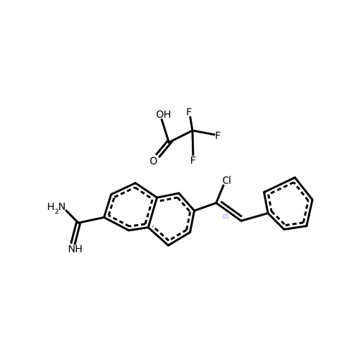 N=C(N)c1ccc2cc(/C(Cl)=C/c3ccccc3)ccc2c1.O=C(O)C(F)(F)F